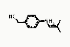 CC(C)=C[SiH2]c1ccc(CC#N)cc1